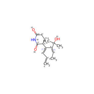 C=C/C=C(\C(=C/C)C(C)(C)O)C1CCC(=O)NC1=O